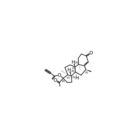 C#CC(=C)O[C@]1(C(C)=O)CC[C@H]2[C@@H]3C[C@H](C)C4=CC(=O)CC[C@]4(C)[C@H]3CC[C@@]21C